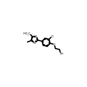 Cc1nc(-c2ccc(OCCC(C)C)c(Cl)c2)sc1C(=O)O